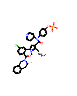 Cc1c(C(=O)N(c2ccncc2)c2ccc(OP(=O)([O-])[O-])cc2)cc(-c2cc(Cl)ccc2C(=O)N2Cc3ccccc3C[C@H]2C)n1C.[Na+].[Na+]